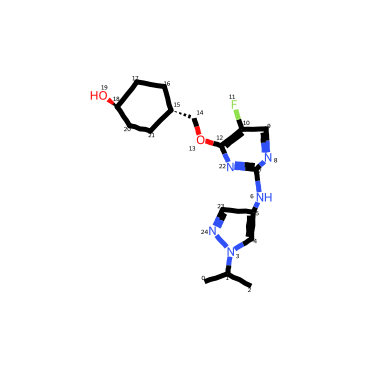 CC(C)n1cc(Nc2ncc(F)c(OC[C@H]3CC[C@H](O)CC3)n2)cn1